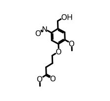 COC(=O)CCCOc1cc(N=O)c(CO)cc1OC